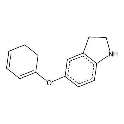 C1=CCCC(Oc2ccc3c(c2)CCN3)=C1